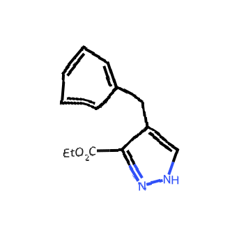 CCOC(=O)c1n[nH]cc1Cc1ccccc1